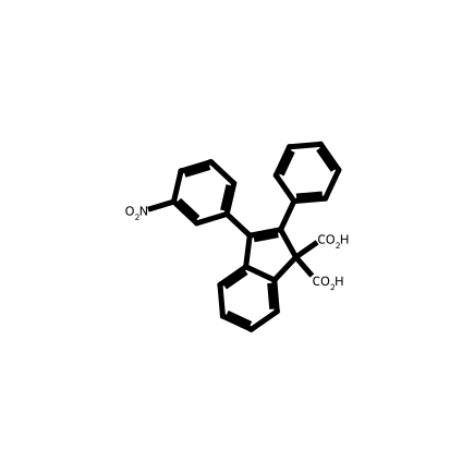 O=C(O)C1(C(=O)O)C(c2ccccc2)=C(c2cccc([N+](=O)[O-])c2)c2ccccc21